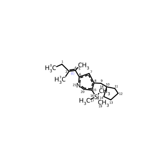 CC/C(C)=C(\C)c1cc(CC2CCCC2)c([Si](C)(C)C)cn1